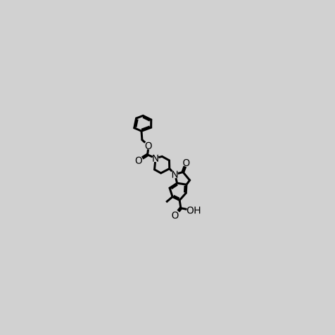 Cc1cc2c(cc1C(=O)O)CC(=O)N2C1CCN(C(=O)OCc2ccccc2)CC1